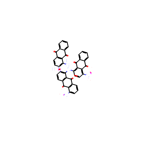 Cc1ccc2c(c1NN(c1ccc([N+](=O)[O-])c3c1C(=O)c1ccccc1C3=O)c1c(N)ccc3c1C(=O)c1cccc([N+](=O)[O-])c1C3=O)C(=O)c1ccccc1C2=O